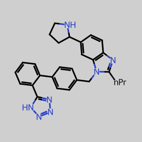 CCCc1nc2ccc(C3CCCN3)cc2n1Cc1ccc(-c2ccccc2-c2nnn[nH]2)cc1